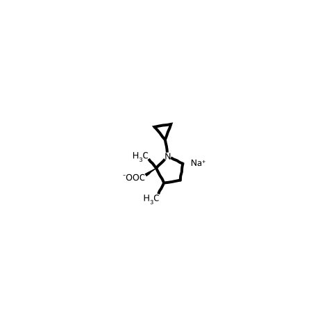 CC1CCN(C2CC2)[C@]1(C)C(=O)[O-].[Na+]